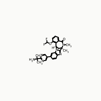 CN1C(=O)c2cccc(OC(F)F)c2[C@H]2C[C@]1(C)c1nc3ccc(-c4cnc(C(C)(C)N)nc4)cc3n12